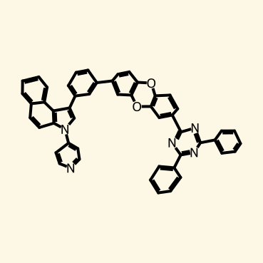 c1ccc(-c2nc(-c3ccccc3)nc(-c3ccc4c(c3)Oc3cc(-c5cccc(-c6cn(-c7ccncc7)c7ccc8ccccc8c67)c5)ccc3O4)n2)cc1